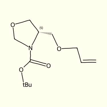 C=CCOC[C@H]1COCN1C(=O)OC(C)(C)C